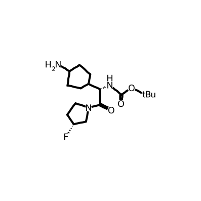 CC(C)(C)OC(=O)N[C@H](C(=O)N1CC[C@@H](F)C1)C1CCC(N)CC1